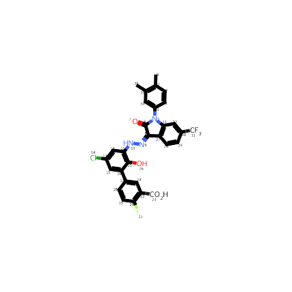 Cc1ccc(N2C(=O)C(=NNc3cc(Cl)cc(-c4ccc(F)c(C(=O)O)c4)c3O)c3ccc(C(F)(F)F)cc32)cc1C